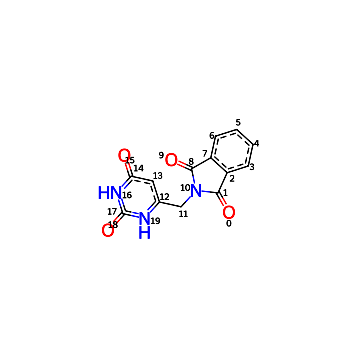 O=C1c2ccccc2C(=O)N1Cc1cc(=O)[nH]c(=O)[nH]1